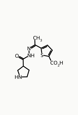 C/C(=N/NC(=O)C1CCNC1)c1ccc(C(=O)O)s1